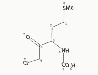 CSCC[C@H](NC(=O)O)C(=O)CCl